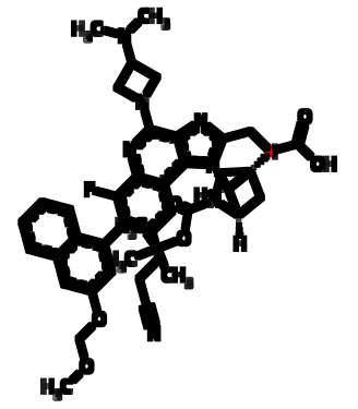 COCOc1cc(-c2c(CCC#N)cc3c(nc(N4CC(N(C)C)C4)c4nc(CCC(=O)O)n([C@H]5[C@@H]6C[C@H]5N(C(=O)OC(C)(C)C)C6)c43)c2F)c2ccccc2c1